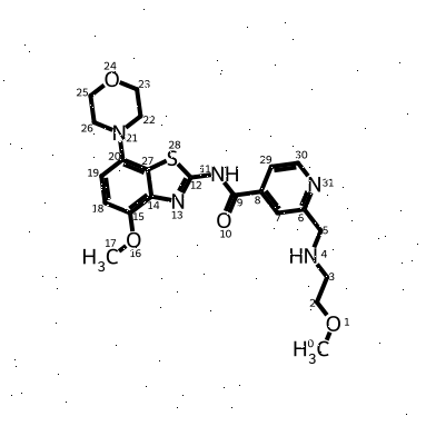 COCCNCc1cc(C(=O)Nc2nc3c(OC)ccc(N4CCOCC4)c3s2)ccn1